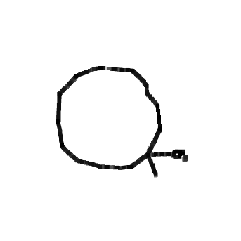 CC1(C(F)(F)F)CCCCCCCCCCCC1